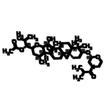 CC(=O)O[C@H](C(C)C)C1C[C@@H](C)[C@H]2C(O1)[C@H](O)[C@@]1(C)C3CC[C@H]4C(C)(C)[C@@H](O[C@H]5CN(C(=O)C(C)C)CCO5)CC[C@@]45C[C@@]35CC[C@]21C